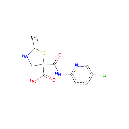 CC1NCC(C(=O)O)(C(=O)Nc2ccc(Cl)cn2)S1